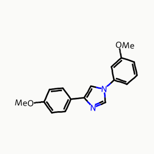 COc1ccc(-c2cn(-c3cccc(OC)c3)cn2)cc1